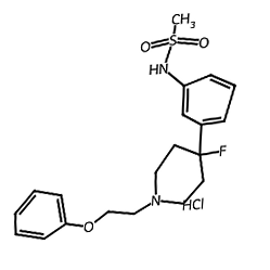 CS(=O)(=O)Nc1cccc(C2(F)CCN(CCOc3ccccc3)CC2)c1.Cl